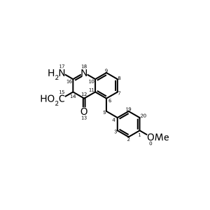 COc1ccc(Cc2cccc3c2C(=O)C(C(=O)O)C(N)=N3)cc1